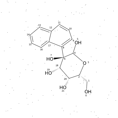 OC[C@H]1OC(O)[C@@](O)(c2cccc3ccccc23)[C@@H](O)[C@H]1O